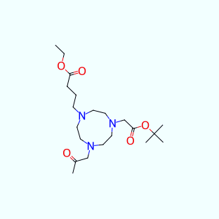 CCOC(=O)CCCN1CCN(CC(C)=O)CCN(CC(=O)OC(C)(C)C)CC1